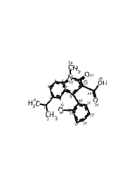 CC(C)c1ccc2c(c1)c(-c1ccccc1Cl)c(C(=O)O)c(=O)n2C